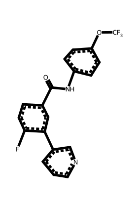 O=C(Nc1ccc(OC(F)(F)F)cc1)c1ccc(F)c(-c2cccnc2)c1